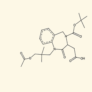 CC(=O)OCC(C)(C)CN1C(=O)C(CC(=O)O)N(C(=O)OC(C)(C)C)Cc2ccccc21